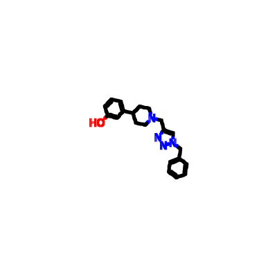 Oc1cccc(C2CCN(Cc3cn(Cc4ccccc4)nn3)CC2)c1